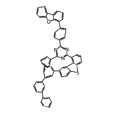 c1ccc(-c2cccc(-c3cccc(-c4ccc5sc6cccc(-c7nc(-c8ccccc8)nc(-c8ccc(-c9cccc%10c9oc9ccccc9%10)cc8)n7)c6c5c4)c3)c2)cc1